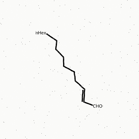 CCCCCCCCCCCC/C=C/[C]=O